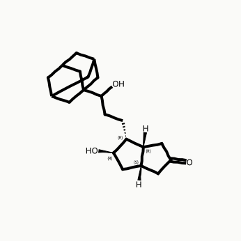 O=C1C[C@@H]2C[C@@H](O)[C@H](CCC(O)C34CC5CC(CC(C5)C3)C4)[C@@H]2C1